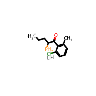 [CH2]CCC(P)C(=O)c1c(C)cccc1Cl.[LiH]